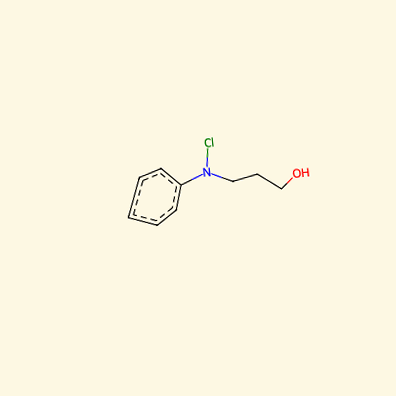 OCCCN(Cl)c1ccccc1